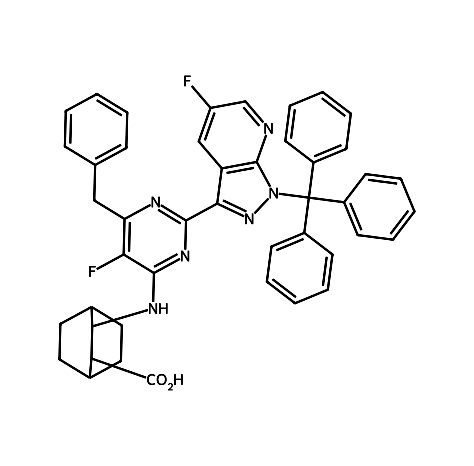 O=C(O)C1C2CCC(CC2)C1Nc1nc(-c2nn(C(c3ccccc3)(c3ccccc3)c3ccccc3)c3ncc(F)cc23)nc(Cc2ccccc2)c1F